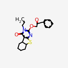 C=CCn1c(OCC(=O)c2ccccc2)nc2c(c1=O)C1CCCCC1S2